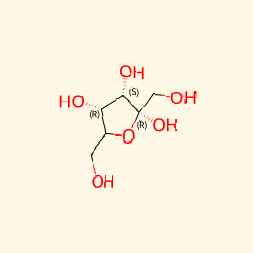 OCC1O[C@](O)(CO)[C@@H](O)[C@H]1O